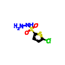 NNS(=O)(=O)c1ccc(Cl)s1